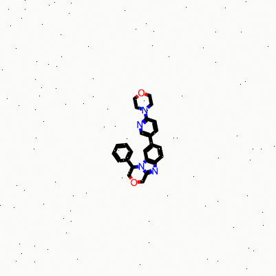 c1ccc(C2COCc3nc4ccc(-c5ccc(N6CCOCC6)nc5)cc4n32)cc1